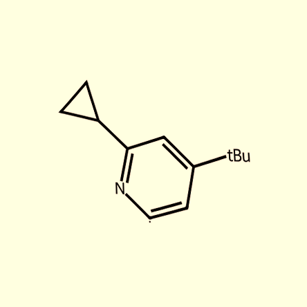 CC(C)(C)c1c[c]nc(C2CC2)c1